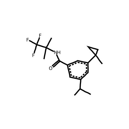 CC(C)c1cc(C(=O)NC(C)(C)C(F)(F)F)cc(C2(C)CC2)c1